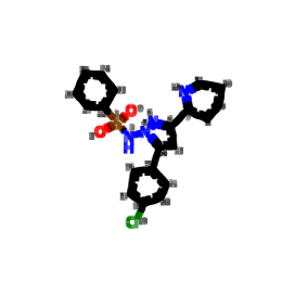 O=S(=O)(Nn1nc(-c2ccccn2)cc1-c1ccc(Cl)cc1)c1ccccc1